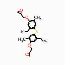 Cc1cc(Sc2cc(C)c(OCC3CO3)cc2CC(C)C)c(CC(C)C)cc1OCC1CO1